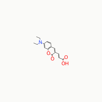 CCN(CC)c1ccc2cc(/C=C/C(=O)O)c(=O)oc2c1